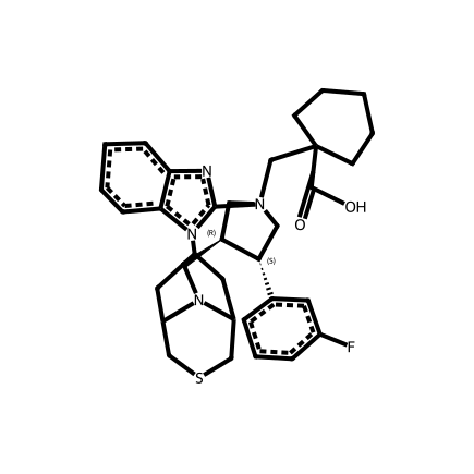 Cc1nc2ccccc2n1C1CC2CSCC(C1)N2C[C@H]1CN(CC2(C(=O)O)CCCCC2)C[C@@H]1c1cccc(F)c1